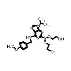 COc1ccc(CNc2nc(N(OCCO)OCCO)nc3c2ncn3C(C)C)cc1